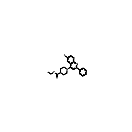 CCOC(=O)C1CCN(c2cc(-c3ccccc3)nc3ccc(F)cc23)CC1